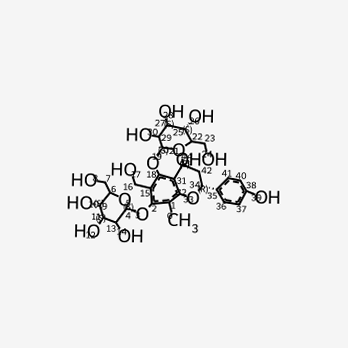 Cc1c(O[C@@H]2OC(CO)[C@@H](O)[C@H](O)C2O)c(CO)c(O[C@@H]2OC(CO)[C@@H](O)[C@H](O)C2O)c2c1O[C@@H](c1ccc(O)cc1)C[C@@H]2O